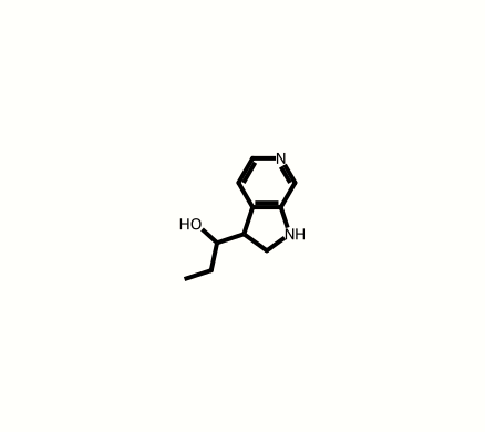 CCC(O)C1CNc2cnccc21